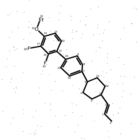 C/C=C/C1CCC(c2ccc(-c3ccc(OCC)c(F)c3F)cc2)CC1